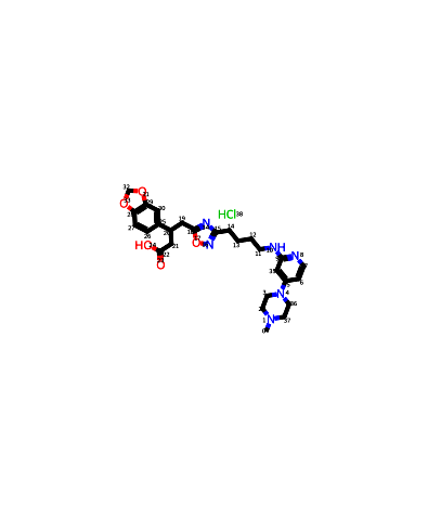 CN1CCN(c2ccnc(NCCCCc3noc(CC(CC(=O)O)c4ccc5c(c4)OCO5)n3)c2)CC1.Cl